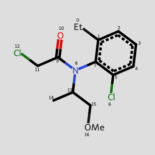 CCc1cccc(Cl)c1N(C(=O)CCl)C(C)COC